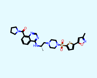 Cc1cc(-c2ccc(S(=O)(=O)N3CCN(C[C@H](C)Nc4ncnc5c(C(=O)N6CCCC6)cccc45)CC3)s2)on1